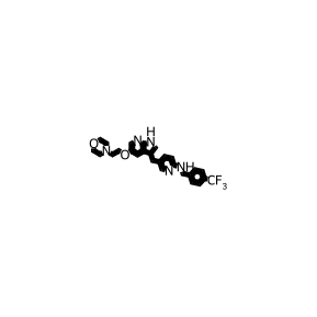 FC(F)(F)c1ccc(CNc2ccc(CC3CNc4ncc(OCCN5CCOCC5)cc43)cn2)cc1